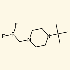 CC(C)(C)N1CCN(CB(F)F)CC1